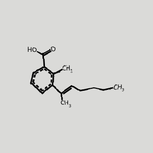 CCCCC=C(C)c1cccc(C(=O)O)c1C